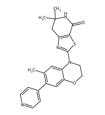 Cc1cc2c(cc1-c1ccncc1)OCCN2c1nc2c(s1)C(=O)NC(C)(C)C2